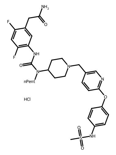 CCCCCN(C(=O)Nc1cc(CC(N)=O)c(F)cc1F)C1CCN(Cc2ccc(Oc3ccc(NS(C)(=O)=O)cc3)nc2)CC1.Cl